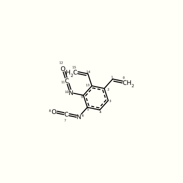 C=Cc1ccc(N=C=O)c(N=C=O)c1C=C